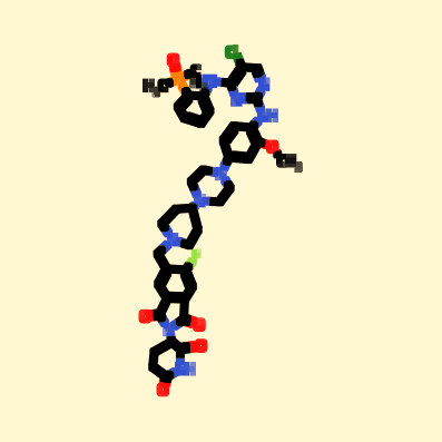 COc1cc(N2CCN(C3CCN(Cc4cc5c(cc4F)C(=O)N(C4CCC(=O)NC4=O)C5=O)CC3)CC2)ccc1Nc1ncc(Cl)c(Nc2ccccc2P(C)(C)=O)n1